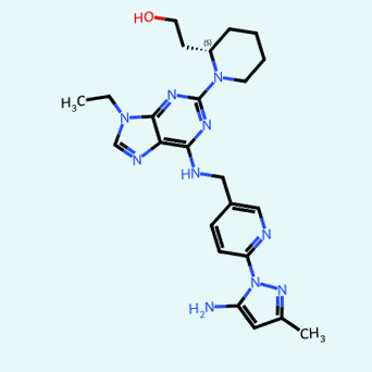 CCn1cnc2c(NCc3ccc(-n4nc(C)cc4N)nc3)nc(N3CCCC[C@H]3CCO)nc21